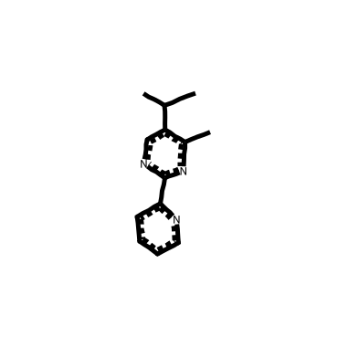 Cc1nc(-c2ccccn2)ncc1C(C)C